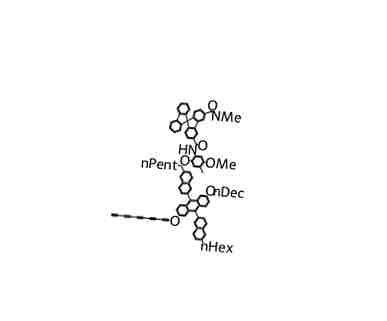 C#CC#CC#CC#CC#COc1ccc2c(-c3ccc4cc(C(CCCCC)Oc5cc(C)c(OC)cc5NC(=O)c5ccc6c(c5)-c5cc(C(=O)NC)ccc5C65c6ccccc6-c6ccccc65)ccc4c3)c3cc(OCCCCCCCCCC)ccc3c(-c3ccc4cc(CCCCCC)ccc4c3)c2c1